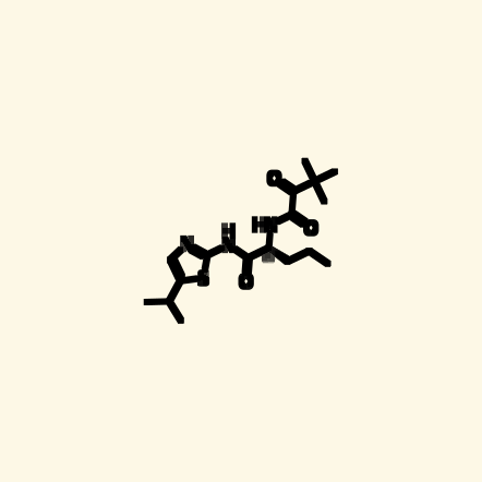 CCC[C@H](NC(=O)C(=O)C(C)(C)C)C(=O)Nc1ncc(C(C)C)s1